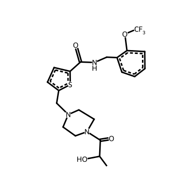 CC(O)C(=O)N1CCN(Cc2ccc(C(=O)NCc3ccccc3OC(F)(F)F)s2)CC1